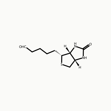 O=CCCCC[C@H]1SC[C@H]2NC(=O)N[C@H]21